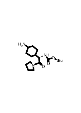 CC(C)(C)OC(=O)N[C@H](C(=O)N1CCCC1)C1CCC(N)CC1